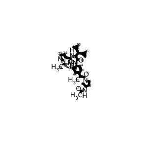 CC(=O)NC1CCN(C(=O)[C@@H](C)c2ccc(NC(=O)[C@@H](NC(=O)c3ccnn3C(C)C)C(C3CC3)C3CC3)c(F)c2)C1